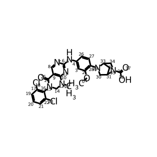 COc1cc(Nc2ncc3c(n2)N(C)CN(c2c(Cl)cccc2Cl)C3=O)ccc1N1CC2CC1CN2C(=O)O